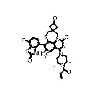 C=CC(=O)N1[C@H](C)CN(c2nc(=O)n3c4c(c(-c5ccc(F)c6sc(=O)[nH]c56)c(C(F)(F)F)cc24)SCC2(CC(=O)C2)C3)C[C@@H]1C